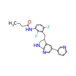 CCCC(=O)Nc1ccc(F)c(CC2CNc3ncc(-c4cccnc4)cc32)c1F